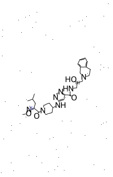 CO/N=C(/CC(C)C)C(=O)N1CCC(Nc2cc(C(=O)NC[C@H](O)CN3CCc4ccccc4C3)ncn2)CC1